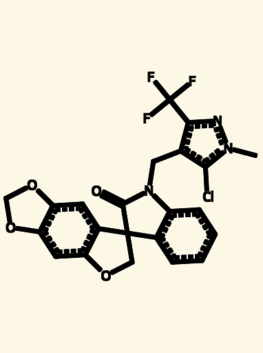 Cn1nc(C(F)(F)F)c(CN2C(=O)C3(COc4cc5c(cc43)OCO5)c3ccccc32)c1Cl